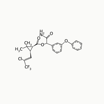 CC1(C)[C@H](/C=C(\Cl)C(F)(F)F)[C@@H]1C(=O)OC(C(N)=O)c1cccc(Oc2ccccc2)c1